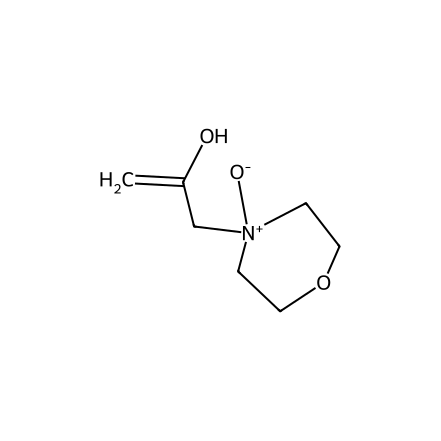 C=C(O)C[N+]1([O-])CCOCC1